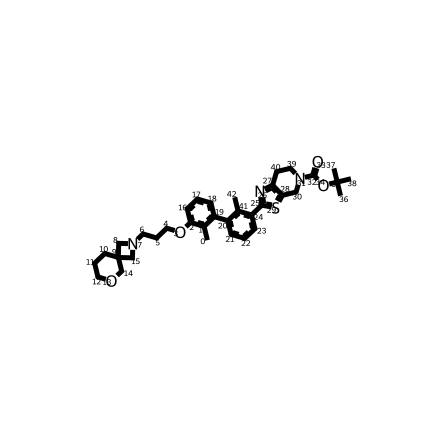 Cc1c(OCCCN2CC3(CCCOC3)C2)cccc1-c1cccc(-c2nc3c(s2)CN(C(=O)OC(C)(C)C)CC3)c1C